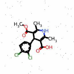 COC(=O)C1=C(C)NC(C)=C(C(=O)O)C1c1ccc(Cl)c(Cl)c1